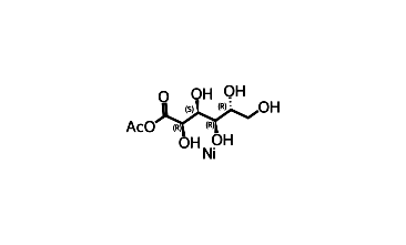 CC(=O)OC(=O)[C@H](O)[C@@H](O)[C@H](O)[C@H](O)CO.[Ni]